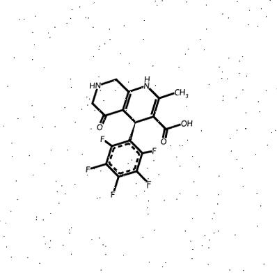 CC1=C(C(=O)O)[C@@H](c2c(F)c(F)c(F)c(F)c2F)C2=C(CNCC2=O)N1